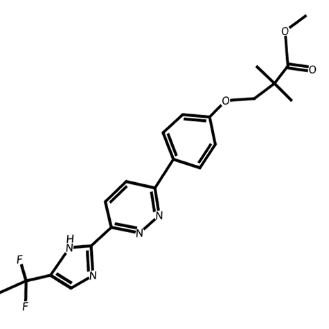 COC(=O)C(C)(C)COc1ccc(-c2ccc(-c3ncc(C(F)(F)F)[nH]3)nn2)cc1